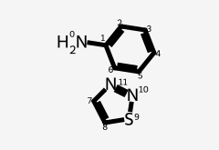 Nc1ccccc1.c1csnn1